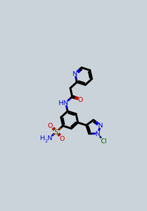 NS(=O)(=O)c1cc(NC(=O)Cc2ccccn2)cc(-c2cnn(Cl)c2)c1